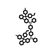 C=Cc1ccc(C2(c3ccc(C)cc3)c3ccccc3-c3ccc(N(c4ccccc4)c4ccc(-c5ccc(N(c6ccccc6)c6ccc7c(c6)C(c6ccc(C)cc6)(c6ccc(C=C)cc6)c6ccccc6-7)cc5)cc4)cc32)cc1